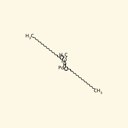 CCCCCCCCCCCCCCCCCCC=Cc1cccc(N=CC(CCCC)=Nc2cccc(C=CCCCCCCCCCCCCCCCCCC)c2)c1.[Pd]